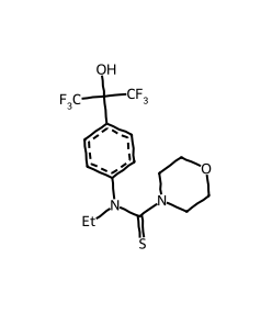 CCN(C(=S)N1CCOCC1)c1ccc(C(O)(C(F)(F)F)C(F)(F)F)cc1